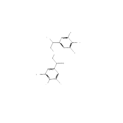 CC(C)c1cc(C(CSCC(c2cc(C(C)C)c(O)c(C(C)C)c2)C(C)C)C(C)C)cc(C(C)C)c1O